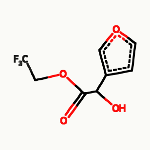 O=C(OCC(F)(F)F)C(O)c1ccoc1